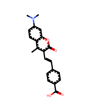 Cc1c(/C=C/c2ccc(C(=O)O)cc2)c(=O)oc2cc(N(C)C)ccc12